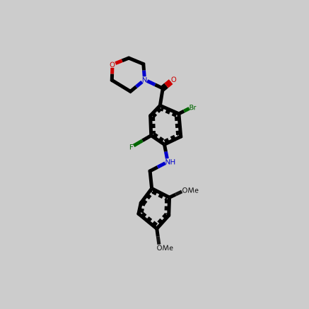 COc1ccc(CNc2cc(Br)c(C(=O)N3CCOCC3)cc2F)c(OC)c1